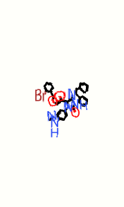 O=C1NC(=NC(Cc2ccccc2)c2ccccc2)C(C2=COC(c3ccccc3Br)O2)N1c1ccc2[nH]cnc2c1